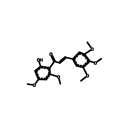 COc1cc(O)c(C(=O)/C=C/c2cc(OC)c(OC)c(OC)c2)c(OC)c1